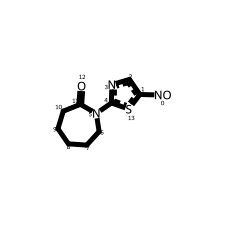 O=Nc1cnc(N2CCCCCC2=O)s1